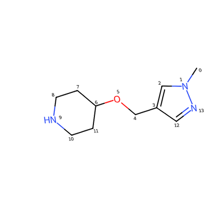 Cn1cc(COC2CCNCC2)cn1